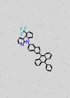 FC(F)(F)c1cccc2c1c1cccnc1n2-c1ccc2cc(-c3c4ccccc4c(-c4ccccc4)c4ccccc34)ccc2c1